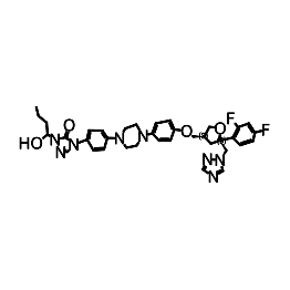 CCCC(O)n1ncn(-c2ccc(N3CCN(c4ccc(OC[C@H]5CO[C@](Cn6cncn6)(c6ccc(F)cc6F)C5)cc4)CC3)cc2)c1=O